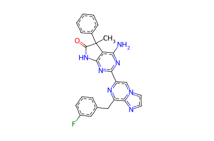 CC1(c2ccccc2)C(=O)Nc2nc(-c3cn4ccnc4c(Cc4cccc(F)c4)n3)nc(N)c21